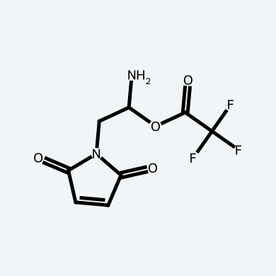 NC(CN1C(=O)C=CC1=O)OC(=O)C(F)(F)F